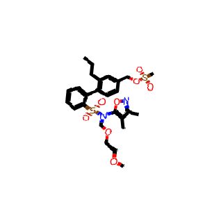 CCCc1cc(COS(C)(=O)=O)ccc1-c1ccccc1S(=O)(=O)N(COCCOC)c1onc(C)c1C